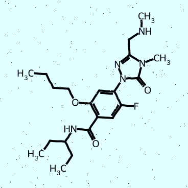 CCCCOc1cc(-n2nc(CNC)n(C)c2=O)c(F)cc1C(=O)NC(CC)CC